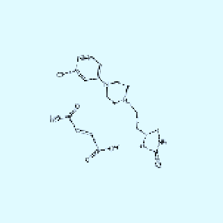 O=C(O)C=CC(=O)O.O=C1NCC(CCN2CCN(c3cccc(Cl)c3)CC2)O1